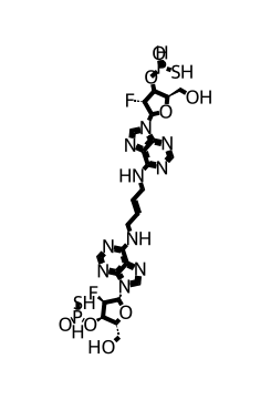 O=[PH](S)OC1[C@@H](F)C(n2cnc3c(NC/C=C/CNc4ncnc5c4ncn5[C@@H]4O[C@H](CO)[C@@H](O[PH](=O)S)[C@H]4F)ncnc32)O[C@@H]1CO